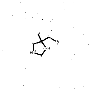 CC(C)CC1(C)CNCN1